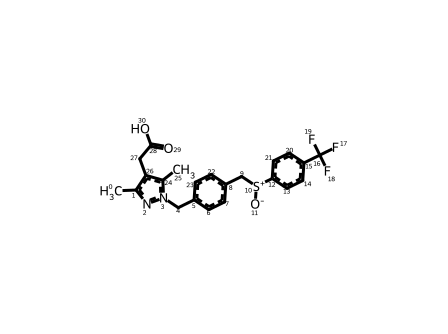 Cc1nn(Cc2ccc(C[S+]([O-])c3ccc(C(F)(F)F)cc3)cc2)c(C)c1CC(=O)O